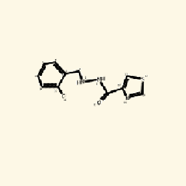 O=C(NNCc1ccccc1Cl)c1cscn1